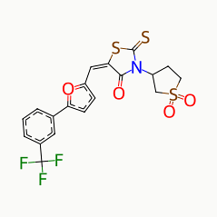 O=C1/C(=C\c2ccc(-c3cccc(C(F)(F)F)c3)o2)SC(=S)N1C1CCS(=O)(=O)C1